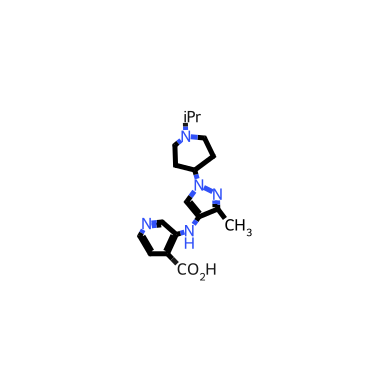 Cc1nn(C2CCN(C(C)C)CC2)cc1Nc1cnccc1C(=O)O